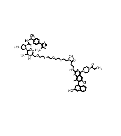 C=CC(=O)N1CCN(c2nc(NCCC(=O)N(C)CCOCCOCCOCCOCC(=O)NC(C(=O)N3C[C@H](O)C[C@H]3C(=O)NC(C)c3ccc(-c4scnc4C)cc3)C(C)(C)C)nc3c(F)c(-c4cc(O)cc5ccccc45)c(Cl)cc23)CC1